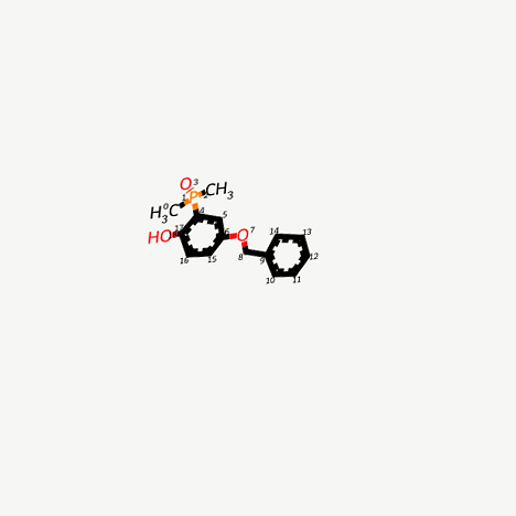 CP(C)(=O)c1cc(OCc2ccccc2)ccc1O